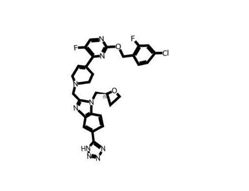 Fc1cc(Cl)ccc1COc1ncc(F)c(C2=CCN(Cc3nc4cc(-c5nnn[nH]5)ccc4n3C[C@@H]3CCO3)CC2)n1